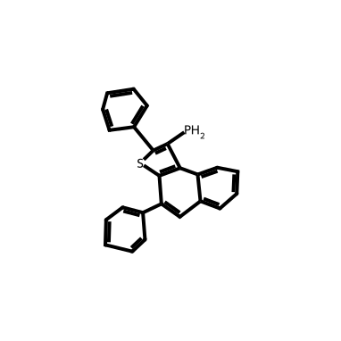 Pc1c(-c2ccccc2)sc2c(-c3ccccc3)cc3ccccc3c12